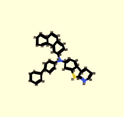 c1ccc(-c2ccc(N(c3ccc4c(c3)sc3ncccc34)c3ccc4ccc5ccccc5c4c3)cc2)cc1